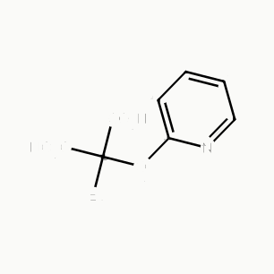 CCC(Oc1ccccn1)(C(=O)O)C(=O)O